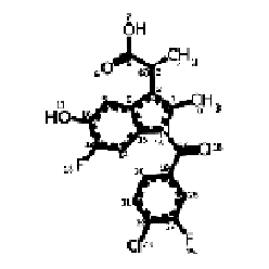 Cc1c([C@H](C)C(=O)O)c2cc(O)c(F)cc2n1C(=O)c1ccc(Cl)c(F)c1